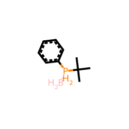 B[PH2](c1ccccc1)C(C)(C)C